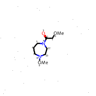 COCC(=O)N1CCCN(OC)CC1